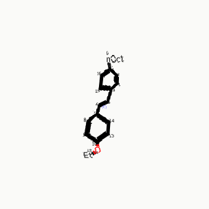 CCCCCCCCc1ccc(/C=C/c2ccc(OCC)cc2)cc1